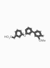 COc1cc(-c2cccc(Oc3cccc(CC(=O)O)c3)c2)ccc1F